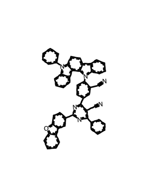 N#Cc1cc(-c2nc(-c3ccc4oc5ccccc5c4c3)nc(-c3ccccc3)c2C#N)ccc1-n1c2ccccc2c2ccc3c(c4ccccc4n3-c3ccccc3)c21